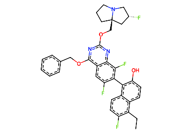 CCc1c(F)ccc2c(-c3c(F)cc4c(OCc5ccccc5)nc(OC[C@@]56CCCN5C[C@H](F)C6)nc4c3F)c(O)ccc12